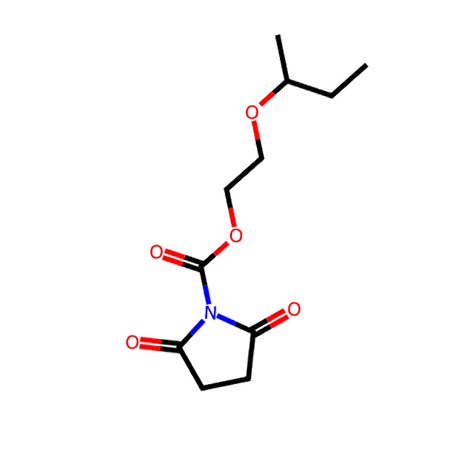 CCC(C)OCCOC(=O)N1C(=O)CCC1=O